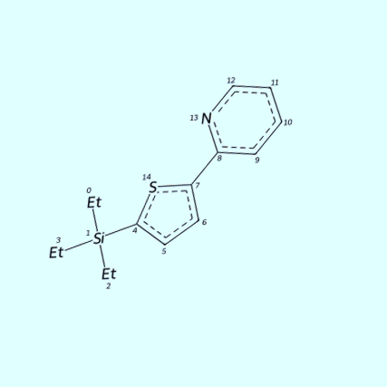 CC[Si](CC)(CC)c1ccc(-c2ccccn2)s1